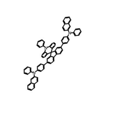 c1ccc(N(c2ccc(-c3ccc4c(c3)C3(c5cc(-c6ccc(N(c7ccccc7)c7ccc8ccccc8c7)cc6)ccc5-4)c4ccccc4N(c4ccccc4)c4ccccc43)cc2)c2ccc3ccccc3c2)cc1